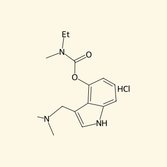 CCN(C)C(=O)Oc1cccc2[nH]cc(CN(C)C)c12.Cl